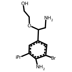 CC(C)c1cc(C(CN)OCCO)cc(Br)c1N